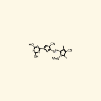 CNn1c(C)c(C#N)c(C)c1/N=N/c1nn(-c2nc(O)nc(O)n2)cc1C#N